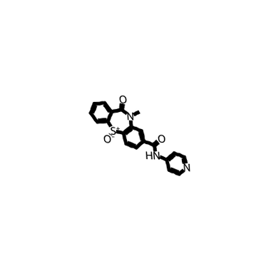 CN1C(=O)c2ccccc2[S+]([O-])c2ccc(C(=O)Nc3ccncc3)cc21